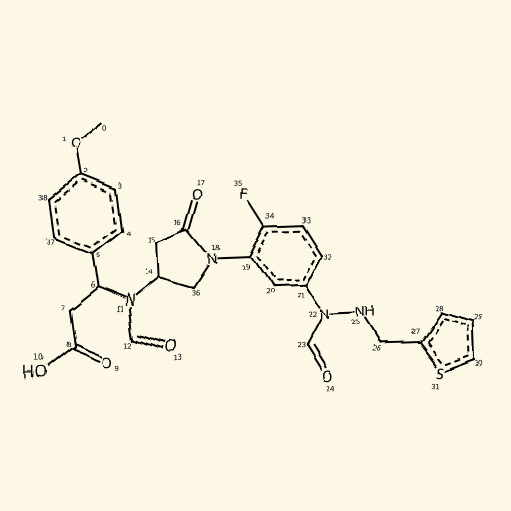 COc1ccc(C(CC(=O)O)N(C=O)C2CC(=O)N(c3cc(N(C=O)NCc4cccs4)ccc3F)C2)cc1